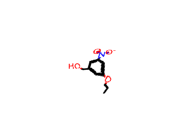 CCCOc1cc(CO)cc([N+](=O)[O-])c1